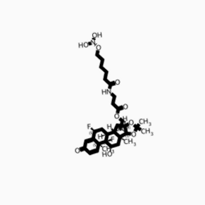 CC1(C)O[C@@H]2C[C@H]3[C@@H]4C[C@H](F)C5=CC(=O)C=C[C@]5(C)[C@@]4(F)[C@@H](O)C[C@]3(C)[C@]2(C(=O)COC(=O)CCNC(=O)CCCCCON(O)O)O1